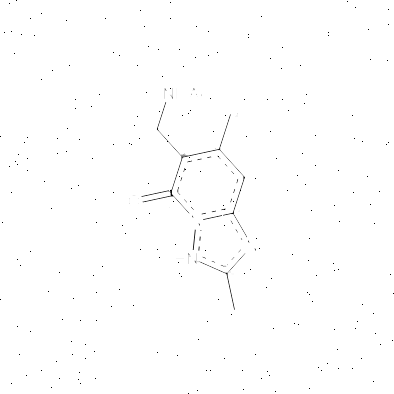 CC(=O)NCc1c(C)cc2nc(C)[nH]n2c1=O